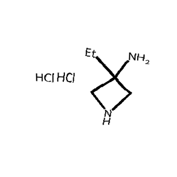 CCC1(N)CNC1.Cl.Cl